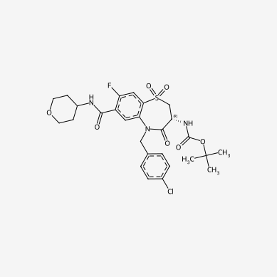 CC(C)(C)OC(=O)N[C@H]1CS(=O)(=O)c2cc(F)c(C(=O)NC3CCOCC3)cc2N(Cc2ccc(Cl)cc2)C1=O